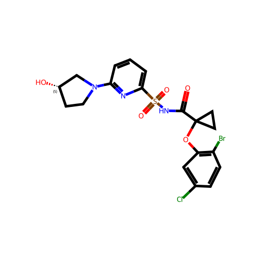 O=C(NS(=O)(=O)c1cccc(N2CC[C@H](O)C2)n1)C1(Oc2cc(Cl)ccc2Br)CC1